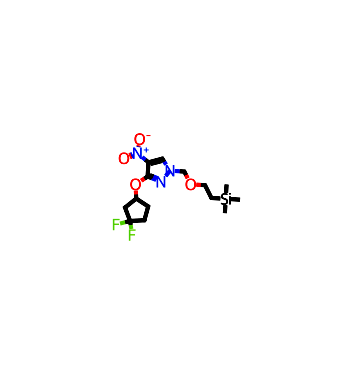 C[Si](C)(C)CCOCn1cc([N+](=O)[O-])c(OC2CCC(F)(F)C2)n1